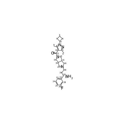 Cc1nn(C2CCC2)c(C)c1C(=O)N1CC2CN(CC[C@H](N)c3cccc(F)c3)CC2C1